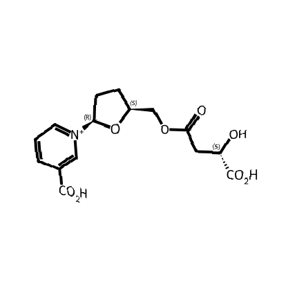 O=C(C[C@H](O)C(=O)O)OC[C@@H]1CC[C@H]([n+]2cccc(C(=O)O)c2)O1